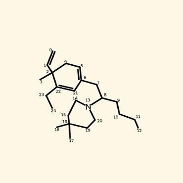 C=CC1(C)CC=C(CC(CCCC)N2CCC(C)(C)CC2)C=C1CC